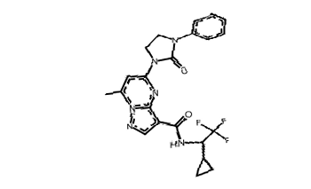 Cc1cc(N2CCN(c3ccccc3)C2=O)nc2c(C(=O)NC(C3CC3)C(F)(F)F)cnn12